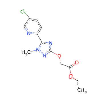 CCOC(=O)COc1nc(-c2ccc(Cl)cn2)n(C)n1